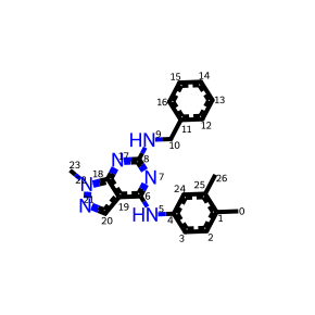 Cc1ccc(Nc2nc(NCc3ccccc3)nc3c2cnn3C)cc1C